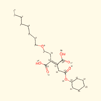 CCCCCCCCOCC/C(C(=O)O)=C(/CC(=O)OC1CCCCC1)C(=O)O